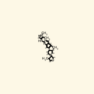 Cc1cc2cnc(Nc3cnn(C)c3C)nc2cc1[C@@H]1CCN([C@H]2COC[C@H]2C)C[C@H]1F